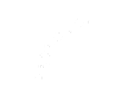 CC(c1cc(F)cc(F)c1)N1CCc2ccc(SNc3nc(C(=O)NCC(F)(F)F)no3)cc2C1